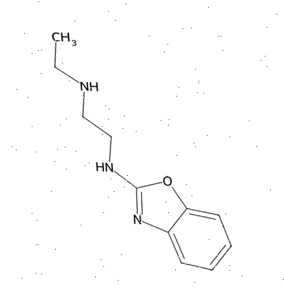 CCNCCNc1nc2ccccc2o1